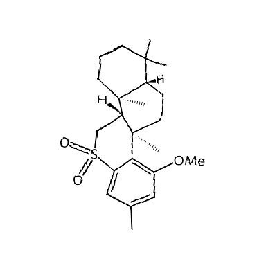 COc1cc(C)cc2c1[C@]1(C)CC[C@H]3C(C)(C)CCC[C@]3(C)[C@H]1CS2(=O)=O